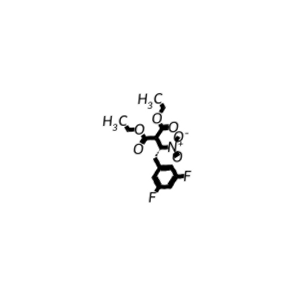 CCOC(=O)C(C(=O)OCC)[C@@H](Cc1cc(F)cc(F)c1)[N+](=O)[O-]